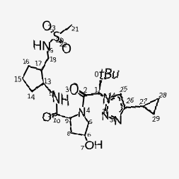 CC(C)(C)[C@H](C(=O)N1CC(O)CC1C(=O)NC1CCCC1CNS(C)(=O)=O)n1cc(C2CC2)nn1